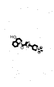 CS(=O)(=O)N1CCC(c2nc(C(=O)N3CCC(O)C4CCCCC43)cs2)CC1